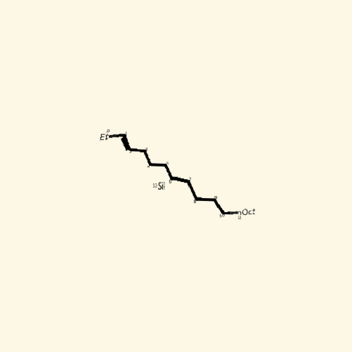 CCC=CCCCCCCCCCCCCCCCC.[Si]